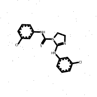 S=C(Nc1cccc(Cl)c1)N1CCN=C1Nc1cccc(Cl)c1